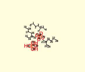 CCCCC(CC)COP(=O)(OCC(CC)CCCC)OCC(CC)CCCC.O=P(O)(O)O